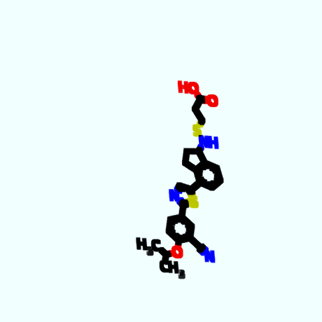 CC(C)Oc1ccc(-c2ncc(-c3cccc4c3CCC4NSCCC(=O)O)s2)cc1C#N